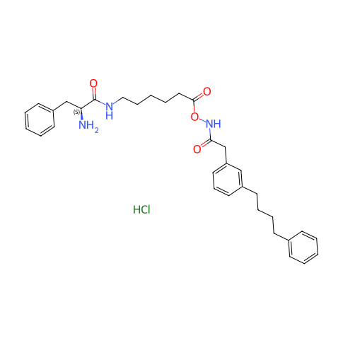 Cl.N[C@@H](Cc1ccccc1)C(=O)NCCCCCC(=O)ONC(=O)Cc1cccc(CCCCc2ccccc2)c1